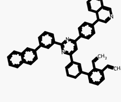 C=Cc1cccc(C2=CC(c3cc(-c4ccc(C5C=NC=C6C=CC=CC65)cc4)nc(-c4cccc(-c5ccc6ccccc6c5)c4)n3)=CCC2)c1C=C